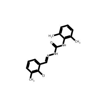 Cc1cccc(/C=N/NC(=O)Nc2c(C)cccc2C)c1Cl